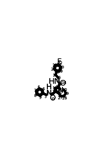 O=C(NCc1ccccc1)c1cc(C(=O)NCCc2ccc(F)cc2)n2c1CCCC2